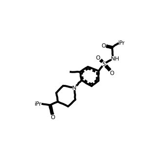 Cc1cc(S(=O)(=O)NC(=O)C(C)C)ccc1N1CCC(C(=O)C(C)C)CC1